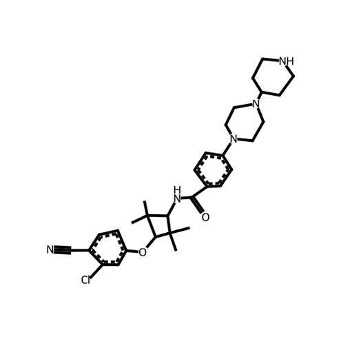 CC1(C)C(NC(=O)c2ccc(N3CCN(C4CCNCC4)CC3)cc2)C(C)(C)C1Oc1ccc(C#N)c(Cl)c1